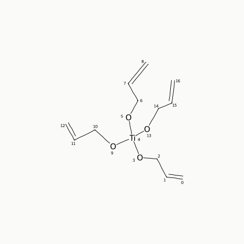 C=CC[O][Ti]([O]CC=C)([O]CC=C)[O]CC=C